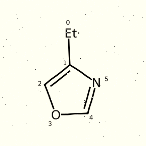 C[CH]c1cocn1